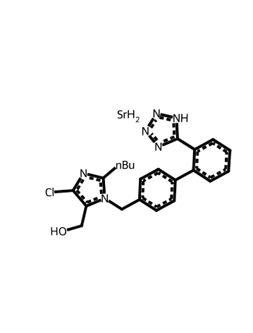 CCCCc1nc(Cl)c(CO)n1Cc1ccc(-c2ccccc2-c2nnn[nH]2)cc1.[SrH2]